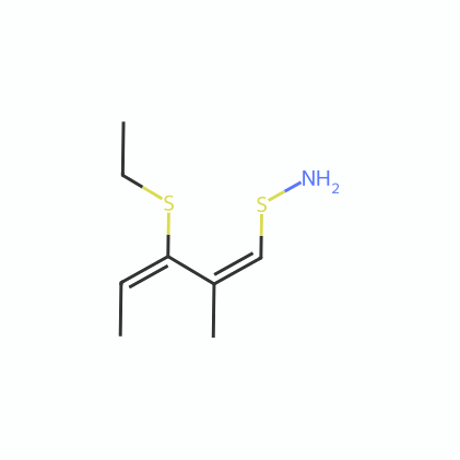 C/C=C(SCC)\C(C)=C/SN